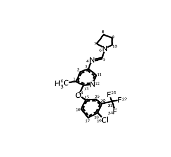 Cc1cc(/N=C/N2CCCC2)cnc1Oc1ccc(Cl)c(C(F)(F)F)c1